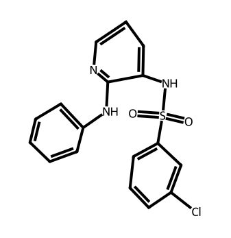 O=S(=O)(Nc1cccnc1Nc1ccccc1)c1cccc(Cl)c1